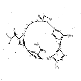 CCOP1(=O)Cc2ccc(c(OC)c2)Nc2ncc(C(F)(F)F)c(n2)Nc2ccc(nc2C(=O)NC)-c2cc(C(=O)N(C)C)n(c2)CCCO1